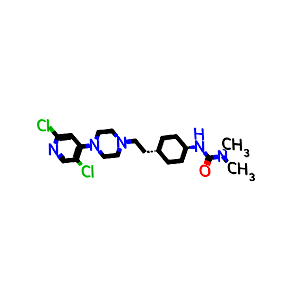 CN(C)C(=O)N[C@H]1CC[C@H](CCN2CCN(c3cc(Cl)ncc3Cl)CC2)CC1